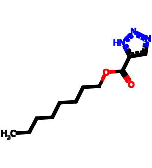 CCCCCCCCOC(=O)c1cnn[nH]1